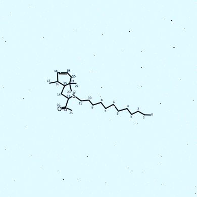 CCCCCCCCCCCCSC(CC1C(C)C=CCC1(C)C)C(C)=O